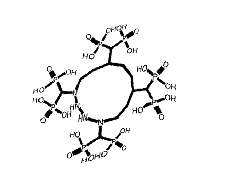 O=P(O)(O)C(C1CCC(C(P(=O)(O)O)P(=O)(O)O)CCN(C(P(=O)(O)O)P(=O)(O)O)NNN(C(P(=O)(O)O)P(=O)(O)O)CC1)P(=O)(O)O